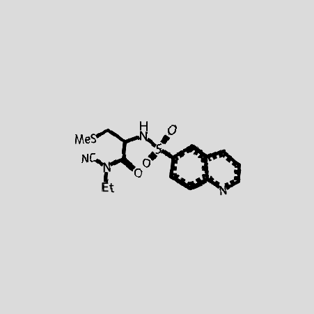 CCN(C#N)C(=O)C(CSC)NS(=O)(=O)c1ccc2ncccc2c1